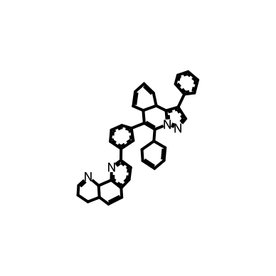 C1=CCC(C2=C(c3cccc(-c4ccc5c(n4)C4N=CCCC4C=C5)c3)C3C=CC=CC3c3c(-c4ccccc4)cnn32)C=C1